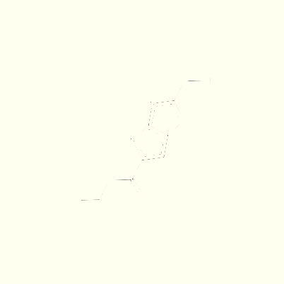 CCOC(=O)c1cc2sc(SC)nc2[nH]1